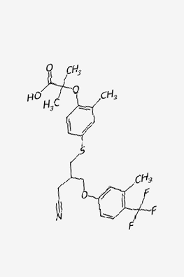 Cc1cc(SCC(CC#N)COc2ccc(C(F)(F)F)c(C)c2)ccc1OC(C)(C)C(=O)O